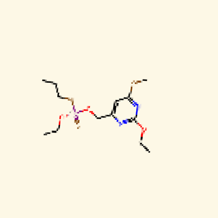 CCCS[P@@](=S)(OCC)OCc1cc(SC)nc(OCC)n1